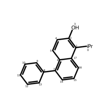 CC(C)c1c(O)ccc2c(-c3ccccc3)cccc12